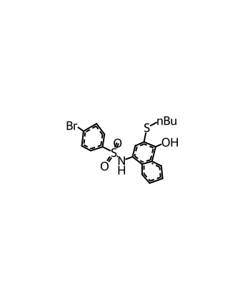 CCCCSc1cc(NS(=O)(=O)c2ccc(Br)cc2)c2ccccc2c1O